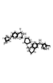 Cc1cc(Nc2cc3c(c([C@H]4CC[C@@H](C(=O)N[C@@H](C)c5ccc(-n6cc(F)cn6)nc5)CC4)n2)N(C)CCC3)n[nH]1